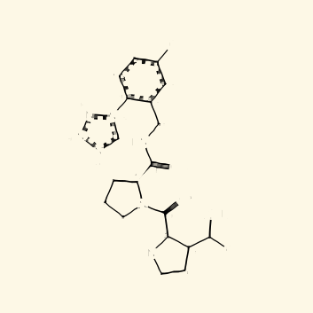 CC(C)C1CCNC1C(=O)N1CCC[C@H]1C(=O)NCc1cc(Cl)ccc1-n1cnnn1